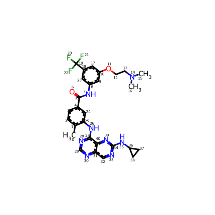 Cc1ccc(C(=O)Nc2cc(OCCN(C)C)cc(C(F)(F)F)c2)cc1Nc1ncnc2cnc(NC3CC3)nc12